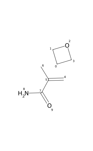 C1COC1.C=C(C)C(N)=O